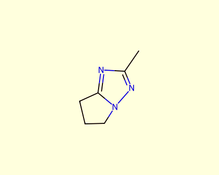 Cc1nc2n(n1)CCC2